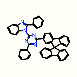 c1ccc(-c2nc(-c3ccc4c(c3)C3(c5ccccc5-c5ccccc53)c3ccccc3-4)nc(-n3c(-c4ccccc4)nc4ccccc43)n2)cc1